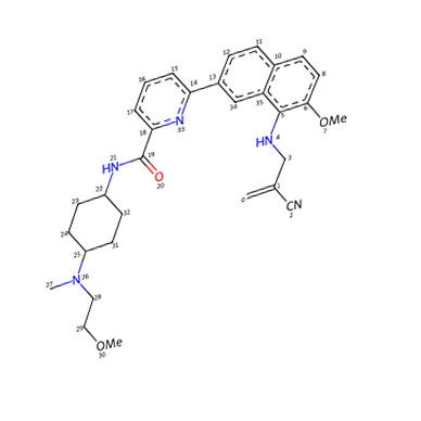 C=C(C#N)CNc1c(OC)ccc2ccc(-c3cccc(C(=O)NC4CCC(N(C)CCOC)CC4)n3)cc12